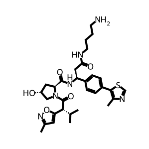 Cc1cc([C@H](C(=O)N2C[C@H](O)C[C@H]2C(=O)N[C@@H](CC(=O)NCCCCN)c2ccc(-c3scnc3C)cc2)C(C)C)on1